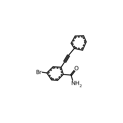 NC(=O)c1ccc(Br)cc1C#Cc1ccccc1